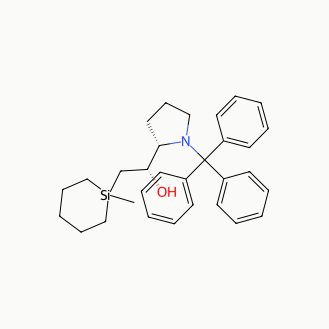 C[Si]1(C[C@@H](O)[C@@H]2CCCN2C(c2ccccc2)(c2ccccc2)c2ccccc2)CCCCC1